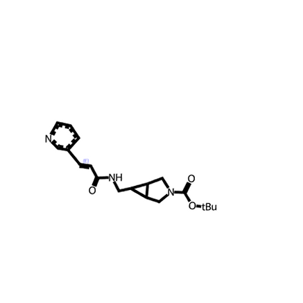 CC(C)(C)OC(=O)N1CC2C(CNC(=O)/C=C/c3cccnc3)C2C1